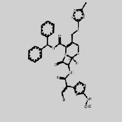 Cc1nnc(SCC2=C(C(=O)OC(c3ccccc3)c3ccccc3)N3C(=O)C(NC(=O)/C(=C/Br)c4csc(NC=O)n4)[C@H]3SC2)s1